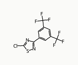 FC(F)(F)c1cc(-c2nsc(Cl)n2)cc(C(F)(F)F)c1